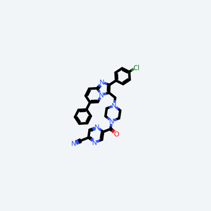 N#Cc1cnc(C(=O)N2CCN(Cc3c(-c4ccc(Cl)cc4)nc4ccc(-c5ccccc5)cn34)CC2)cn1